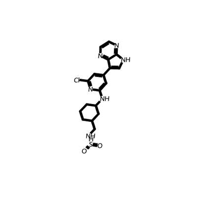 O=[SH](=O)NCC1CCCC(Nc2cc(-c3c[nH]c4nccnc34)cc(Cl)n2)C1